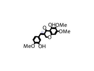 COc1ccc(/C=C2\COc3cc(OC)c(OC)c(O)c3C2=O)cc1O